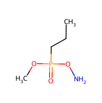 CCCP(=O)(OC)ON